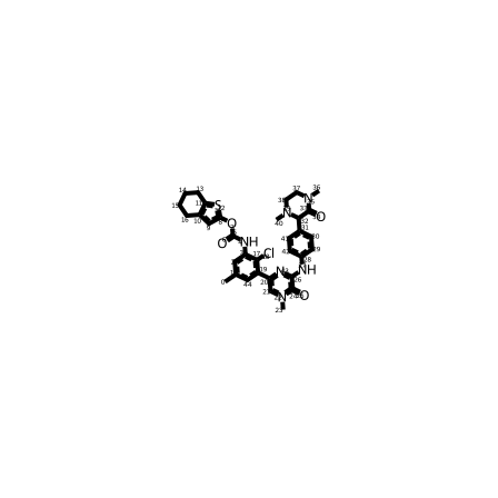 Cc1cc(NC(=O)Oc2cc3c(s2)CCCC3)c(Cl)c(-c2cn(C)c(=O)c(Nc3ccc(C4C(=O)N(C)CCN4C)cc3)n2)c1